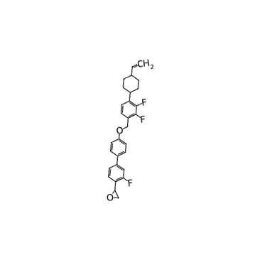 C=CC1CCC(c2ccc(COc3ccc(-c4ccc(C5CO5)c(F)c4)cc3)c(F)c2F)CC1